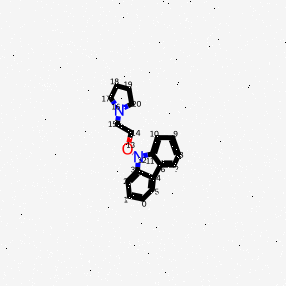 c1ccc2c(c1)c1ccccc1n2OCCN1CCCC1